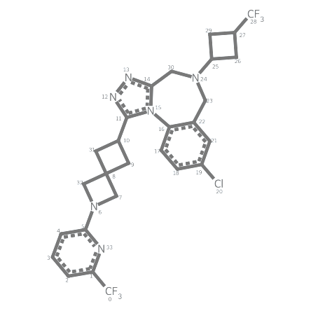 FC(F)(F)c1cccc(N2CC3(CC(c4nnc5n4-c4ccc(Cl)cc4CN(C4CC(C(F)(F)F)C4)C5)C3)C2)n1